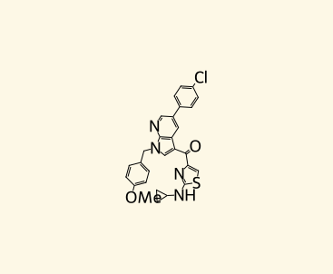 COc1ccc(Cn2cc(C(=O)c3csc(NC4CC4)n3)c3cc(-c4ccc(Cl)cc4)cnc32)cc1